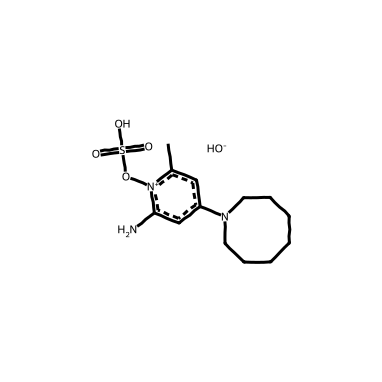 Cc1cc(N2CCCCCCC2)cc(N)[n+]1OS(=O)(=O)O.[OH-]